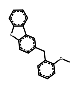 COc1ccccc1Cc1ccc2c(c1)-c1ccccc1[N]2